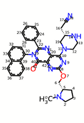 CN1CCC[C@H]1COc1nc(N2CCN[C@@H](CC#N)C2)c2nc(-c3ccccc3)n(-c3cccc4ccccc34)c(=O)c2n1